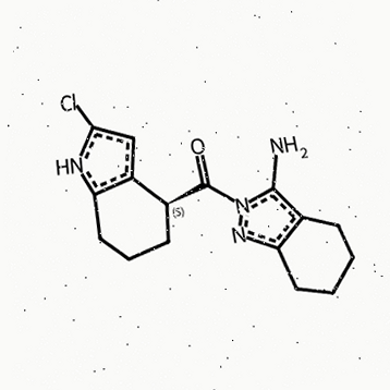 Nc1c2c(nn1C(=O)[C@H]1CCCc3[nH]c(Cl)cc31)CCCC2